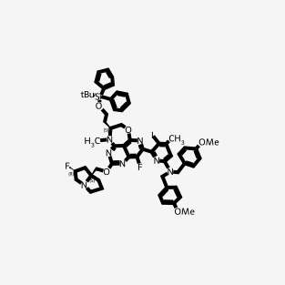 COc1ccc(CN(Cc2ccc(OC)cc2)c2cc(C)c(I)c(-c3nc4c5c(nc(OC[C@@]67CCCN6C[C@H](F)C7)nc5c3F)N(C)[C@@H](CCO[Si](c3ccccc3)(c3ccccc3)C(C)(C)C)CO4)n2)cc1